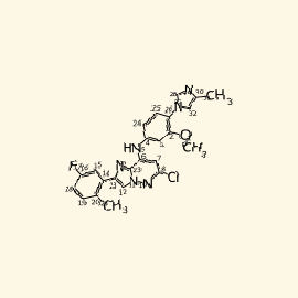 COc1cc(Nc2cc(Cl)nn3cc(-c4cc(F)ccc4C)nc23)ccc1-n1cnc(C)c1